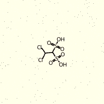 O=S(=O)(O)C(C(Cl)Cl)S(=O)(=O)O